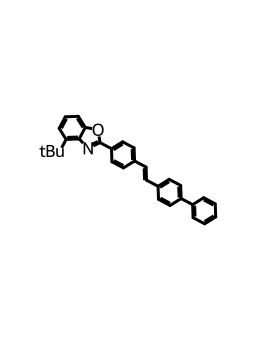 CC(C)(C)c1cccc2oc(-c3ccc(C=Cc4ccc(-c5ccccc5)cc4)cc3)nc12